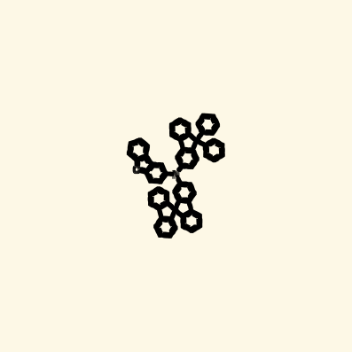 c1ccc(C2(c3ccccc3)c3ccccc3-c3cc(N(c4ccc5c(c4)C4(c6ccccc6-c6ccccc64)c4ccccc4-5)c4ccc5oc6ccccc6c5c4)ccc32)cc1